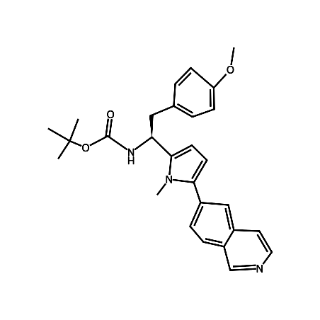 COc1ccc(C[C@H](NC(=O)OC(C)(C)C)c2ccc(-c3ccc4cnccc4c3)n2C)cc1